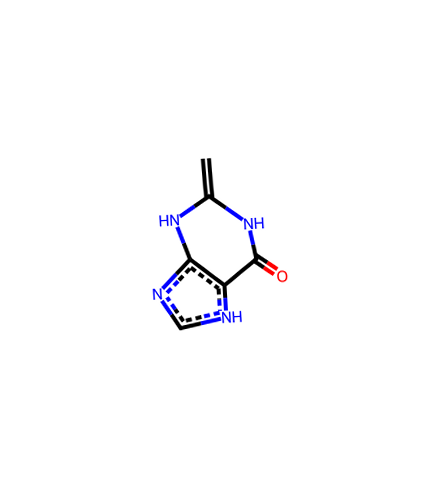 C=C1NC(=O)c2[nH]cnc2N1